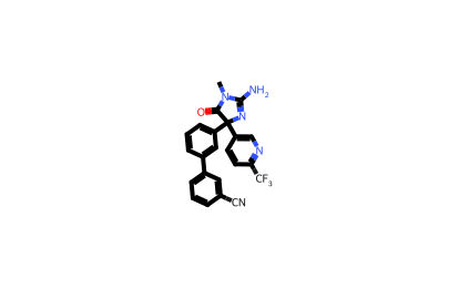 CN1C(=O)C(c2ccc(C(F)(F)F)nc2)(c2cccc(-c3cccc(C#N)c3)c2)N=C1N